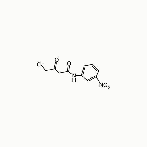 O=C(CCl)CC(=O)Nc1cccc([N+](=O)[O-])c1